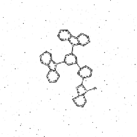 CC(C)n1c(-c2cccc(-c3cc(-n4c5ccccc5c5ccccc54)cc(-n4c5ccccc5c5ccccc54)c3)c2)nc2ccccc21